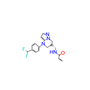 C=CC(=O)NC[C@@H]1CN(c2ccc(C(F)F)cc2)c2ccnn2C1